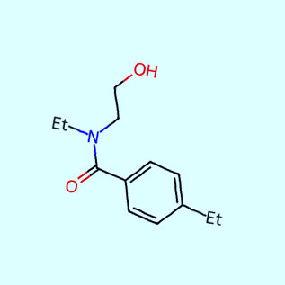 CCc1ccc(C(=O)N(CC)CCO)cc1